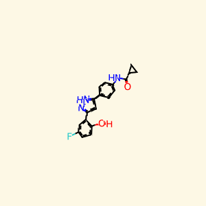 O=C(Nc1ccc(-c2cc(-c3cc(F)ccc3O)n[nH]2)cc1)C1CC1